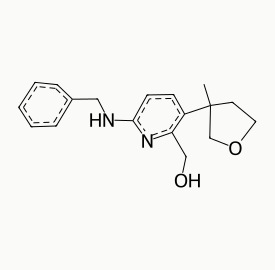 CC1(c2ccc(NCc3ccccc3)nc2CO)CCOC1